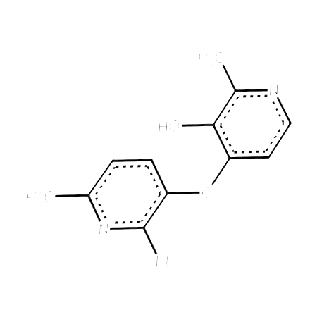 CCc1nc(C)ccc1Oc1ccnc(C)c1O